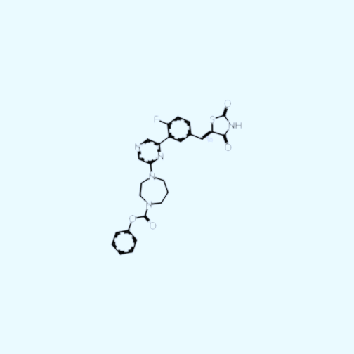 O=C1NC(=O)/C(=C/c2ccc(F)c(-c3cncc(N4CCCN(C(=O)Oc5ccccc5)CC4)n3)c2)S1